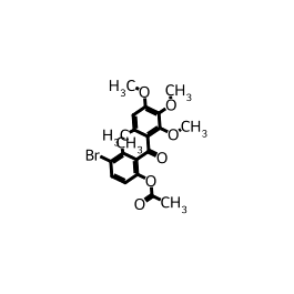 COc1cc(C)c(C(=O)c2c(OC(C)=O)ccc(Br)c2C)c(OC)c1OC